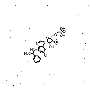 CC(Nc1nc(Cl)nc2c1ncn2[C@@H]1O[C@H](COCP(=O)(O)O)[C@@H](O)[C@H]1O)c1ccccc1